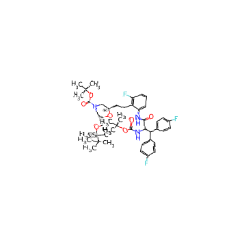 CC(C)(C)OC(=O)NC(C(=O)Nc1cccc(F)c1CC[C@@H]1CN(C(=O)OC(C)(C)C)C[C@@H](CO[Si](C)(C)C(C)(C)C)O1)C(c1ccc(F)cc1)c1ccc(F)cc1